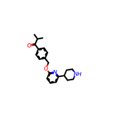 CC(C)C(=O)c1ccc(COc2cccc(C3CCNCC3)n2)cc1